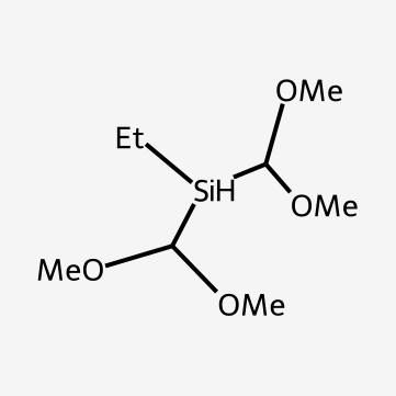 CC[SiH](C(OC)OC)C(OC)OC